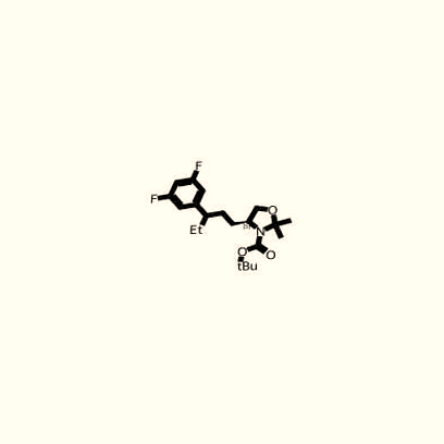 CCC(CC[C@H]1COC(C)(C)N1C(=O)OC(C)(C)C)c1cc(F)cc(F)c1